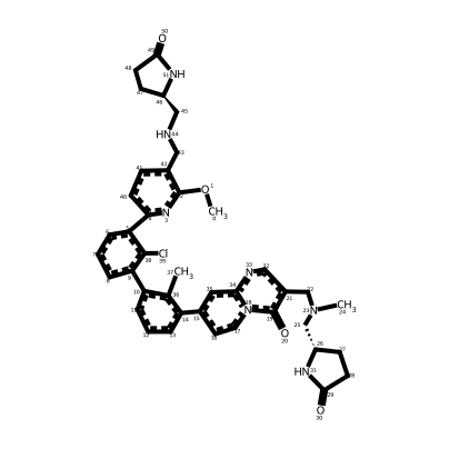 COc1nc(-c2cccc(-c3cccc(-c4ccn5c(=O)c(CN(C)C[C@@H]6CCC(=O)N6)cnc5c4)c3C)c2Cl)ccc1CNC[C@H]1CCC(=O)N1